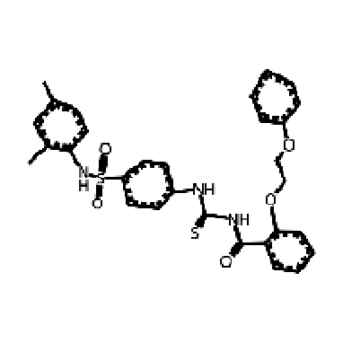 Cc1ccc(NS(=O)(=O)c2ccc(NC(=S)NC(=O)c3ccccc3OCCOc3ccccc3)cc2)c(C)c1